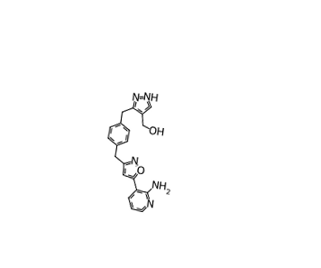 Nc1ncccc1-c1cc(Cc2ccc(Cc3n[nH]cc3CO)cc2)no1